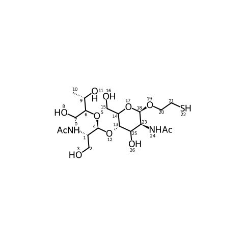 CC(=O)N[C@@H](CO)[C@@H](OC(CO)[C@H](C)O)O[C@@H]1C(CO)O[C@@H](OCCS)[C@@H](NC(C)=O)C1O